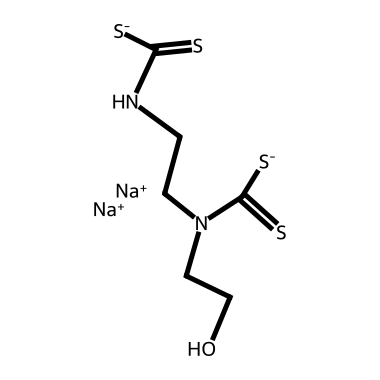 OCCN(CCNC(=S)[S-])C(=S)[S-].[Na+].[Na+]